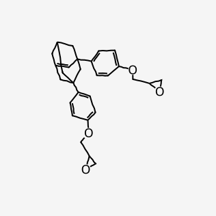 C1=C2CC3CC1(c1ccc(OCC4CO4)cc1)CC(c1ccc(OCC4CO4)cc1)(C2)C3